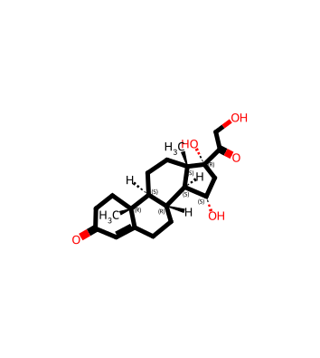 C[C@]12CCC(=O)C=C1CC[C@H]1[C@@H]3[C@@H](O)C[C@](O)(C(=O)CO)[C@@]3(C)CC[C@@H]12